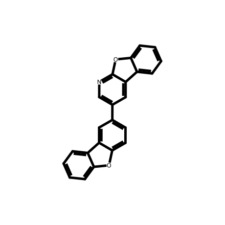 c1ccc2c(c1)oc1ccc(-c3cnc4oc5ccccc5c4c3)cc12